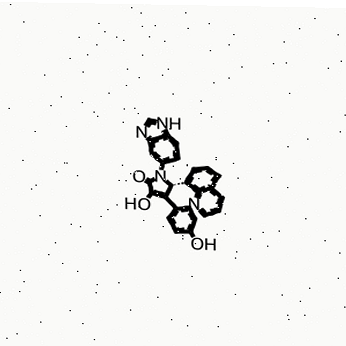 O=C1C(O)=C(c2ccc(O)cc2)[C@@H](c2cccc3cccnc23)N1c1ccc2[nH]cnc2c1